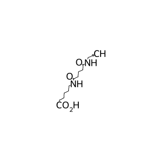 C#CCNC(=O)CCCC(=O)NCCCCCC(=O)O